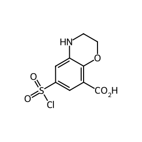 O=C(O)c1cc(S(=O)(=O)Cl)cc2c1OCCN2